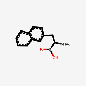 CC(=O)NC(Cc1ccc2ccccc2c1)B(O)O